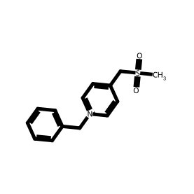 CS(=O)(=O)Cc1cc[n+](Cc2ccccc2)cc1